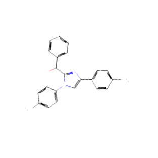 N#Cc1ccc(-c2cn(-c3ccc(C#N)cc3)c(C(O)c3ccccc3)n2)cc1